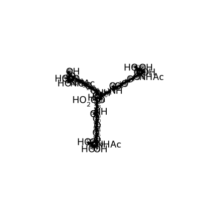 CC(=O)N[C@H]1C(OCCOCCOCCOCC(=O)NCCCC[C@H](NC(=O)COCCOCCOCCO[C@@H]2O[C@H](CO)[C@H](O)C(O)[C@H]2NC(C)=O)C(=O)N[C@@H](CCCCNC(=O)COCCOCCOCCOC2O[C@H](CO)[C@H](O)[C@H](O)[C@H]2NC(C)=O)C(=O)O)O[C@H](CO)[C@H](O)C1O